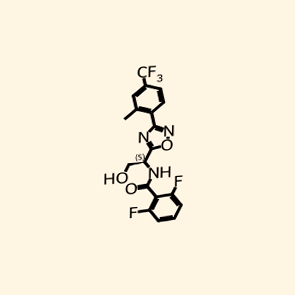 Cc1cc(C(F)(F)F)ccc1-c1noc([C@H](CO)NC(=O)c2c(F)cccc2F)n1